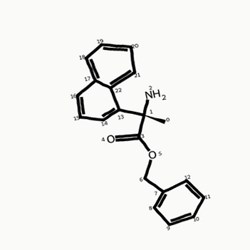 C[C@@](N)(C(=O)OCc1ccccc1)c1cccc2ccccc12